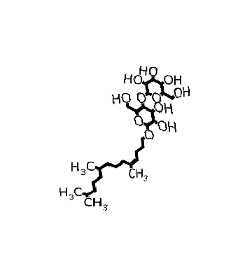 CC(=CCCCOC1OC(CO)C(OC2OC(CO)C(O)C(O)C2O)C(O)C1O)CCCC(C)CCCC(C)C